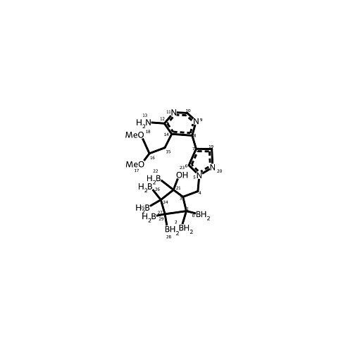 BC1(B)C(Cn2cc(-c3ncnc(N)c3CC(OC)OC)cn2)C(B)(O)C(B)(B)C1(B)B